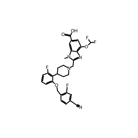 Cn1c(CN2CCC(c3c(F)cccc3OCc3ccc(C#N)cc3F)CC2)nc2c(OC(F)F)cc(C(=O)O)cc21